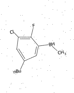 CBc1cc(CCCC)cc(Cl)c1F